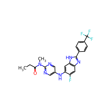 CCC(=O)N(C)c1ncc(Nc2cc3[nH]c(-c4ccc(C(F)(F)F)cc4)nc3cc2F)cn1